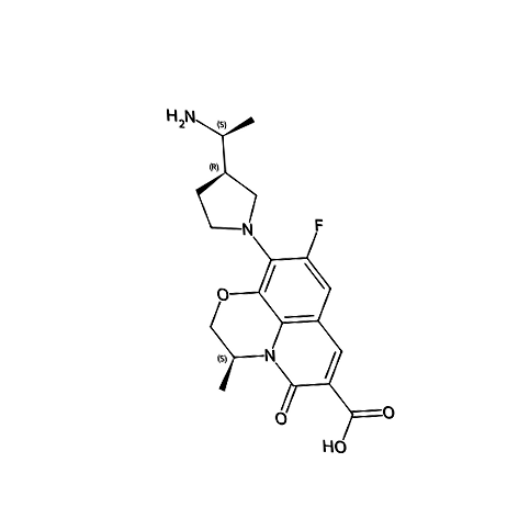 C[C@H](N)[C@@H]1CCN(c2c(F)cc3cc(C(=O)O)c(=O)n4c3c2OC[C@@H]4C)C1